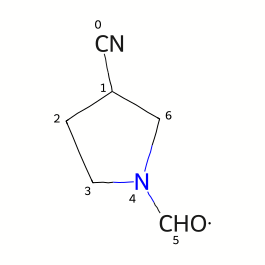 N#CC1CCN([C]=O)C1